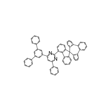 c1ccc(-c2cc(-c3ccccc3)cc(-c3cc(-c4ccccc4)nc(-c4cccc5c4-c4ccccc4C54c5ccccc5-c5ccccc5-c5ccccc54)n3)c2)cc1